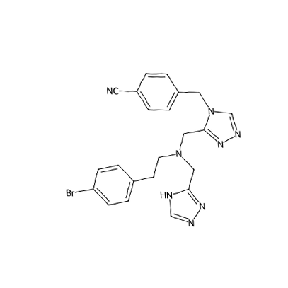 N#Cc1ccc(Cn2cnnc2CN(CCc2ccc(Br)cc2)Cc2nnc[nH]2)cc1